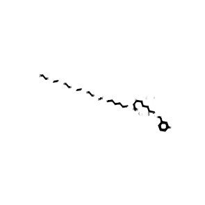 CC(=O)N[C@H]1[C@H]([C@H](O)[C@H](O)CNC(=O)c2cccc(Cl)c2)O[C@@](OCCCCCCNC(=O)OCCOCCOCCOCCOCCN)(C(=O)O)C[C@@H]1O